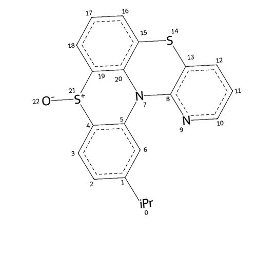 CC(C)c1ccc2c(c1)N1c3ncccc3Sc3cccc(c31)[S+]2[O-]